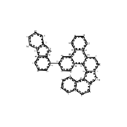 c1ccc2c(c1)ccc1oc3ccc4c5ccccc5c5cc(-c6cccc7c6oc6ccccc67)ccc5c4c3c12